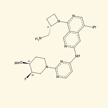 CO[C@H]1CCN(c2nccc(Nc3cc4c(C(C)C)cnc(N5CC[C@H]5CN)c4cn3)n2)C[C@H]1F